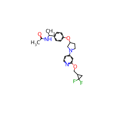 CC(=O)N[C@@H](C)c1ccc(OC2CCN(c3ccnc(OCC4CC4(F)F)c3)C2)cc1